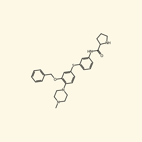 CN1CCN(c2ccc(Sc3cccc(NC(=O)C4CCCN4)c3)cc2OCc2ccccc2)CC1